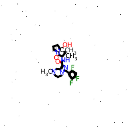 CN1CCCn2c(-c3cc(F)c(F)cc3F)nc(C(=O)N[C@H](C(=O)N3CCC[C@@H]3CO)C(C)(C)C)c2C1